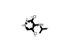 CC(C)Nc1c(Cl)cnnc1Cl